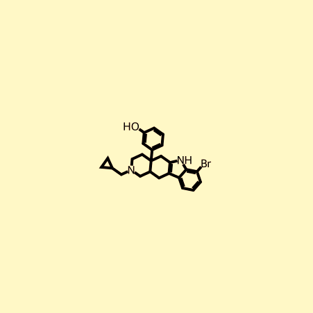 Oc1cccc(C23CCN(CC4CC4)CC2Cc2c([nH]c4c(Br)cccc24)C3)c1